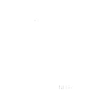 CC(=O)NCCC1CCOCC1